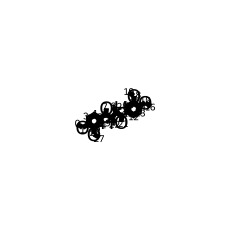 COc1ccc(C2OC[C@@H]3[C@@H](c4ccc(OC)c(OC)c4)OC[C@H]23)cc1OC